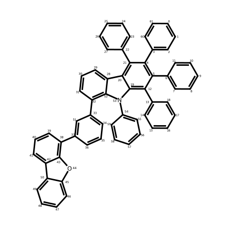 c1ccc(-c2c(-c3ccccc3)c(-c3ccccc3)c3c(c2-c2ccccc2)c2cccc(-c4cccc(-c5cccc6c5oc5ccccc56)c4)c2n3-c2ccccc2)cc1